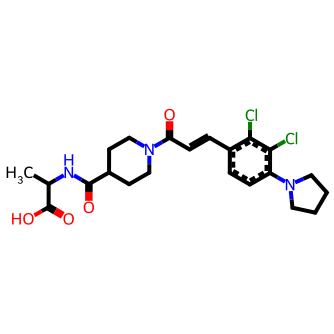 CC(NC(=O)C1CCN(C(=O)C=Cc2ccc(N3CCCC3)c(Cl)c2Cl)CC1)C(=O)O